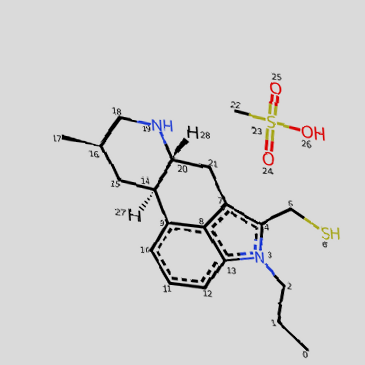 CCCn1c(CS)c2c3c(cccc31)[C@H]1C[C@@H](C)CN[C@@H]1C2.CS(=O)(=O)O